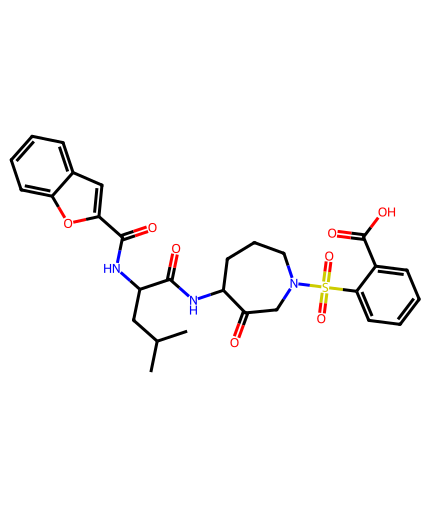 CC(C)CC(NC(=O)c1cc2ccccc2o1)C(=O)NC1CCCN(S(=O)(=O)c2ccccc2C(=O)O)CC1=O